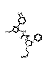 COCCN1C[C@@H](NC(=O)Nc2cc(C(C)(C)C)nn2-c2cccc(C)c2)[C@H](c2ccccc2)C1